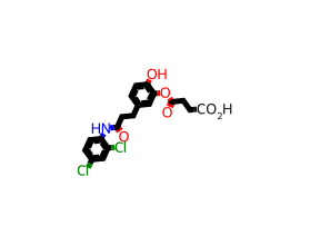 O=C(O)CCC(=O)Oc1cc(CCC(=O)Nc2ccc(Cl)cc2Cl)ccc1O